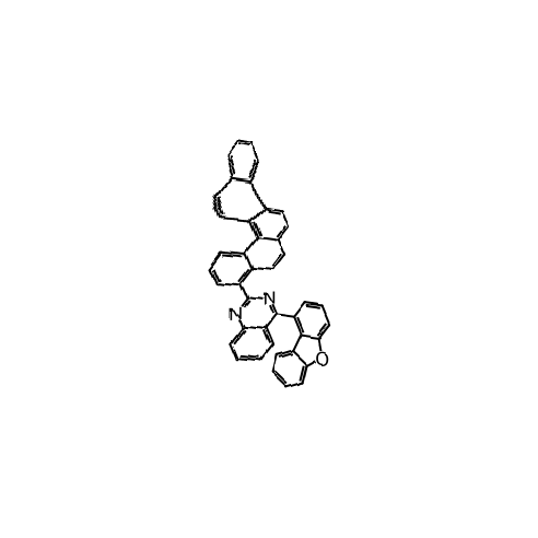 c1ccc2c(c1)ccc1c2ccc2ccc3c(-c4nc(-c5cccc6oc7ccccc7c56)c5ccccc5n4)cccc3c21